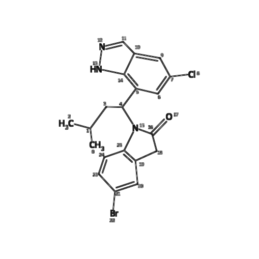 CC(C)CC(c1cc(Cl)cc2cn[nH]c12)N1C(=O)Cc2cc(Br)ccc21